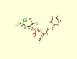 C#CC(C=CCc1ccccc1)OC(=O)C1C(C=C(Cl)Cl)C1(C)C